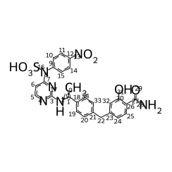 C[C@H](Nc1nccc(N(c2ccc([N+](=O)[O-])cc2)S(=O)(=O)O)n1)c1ccc(Cc2ccc(C(N)=O)c(O)c2)cc1